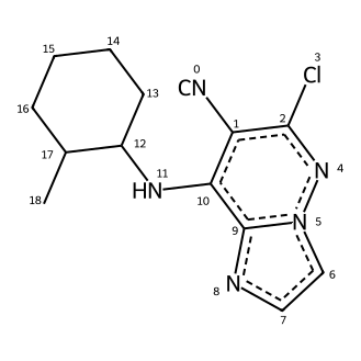 [C-]#[N+]c1c(Cl)nn2ccnc2c1NC1CCCCC1C